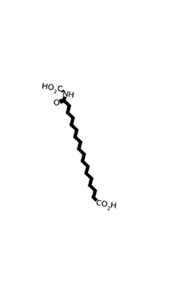 O=C(O)CCCCCCCCCCCCCCCCC(=O)NC(=O)O